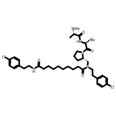 CN[C@@H](C)C(=O)N[C@H](C(=O)N1CCC[C@H]1CN(CCc1ccc(Cl)cc1)C(=O)CCCCCCCCC(=O)NCCc1ccc(Cl)cc1)C(C)(C)C